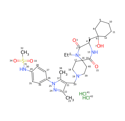 CCN1C(=O)[C@@H](CC2(O)CCCCC2)NC(=O)C12CCN(Cc1c(C)nn(-c3ccc(NS(C)(=O)=O)cc3)c1C)CC2.Cl.Cl